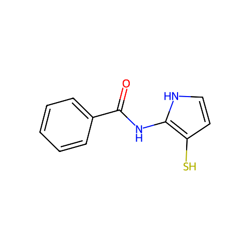 O=C(Nc1[nH]ccc1S)c1ccccc1